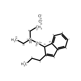 CCCC1=Cc2ccccc2[CH]1[Zr+2][SiH](CC)CC.[Cl-].[Cl-]